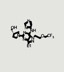 CCc1nn(CCOCC(F)(F)F)c2c(Nc3ccncn3)nc(N3CC[C@H](CO)C3)nc12